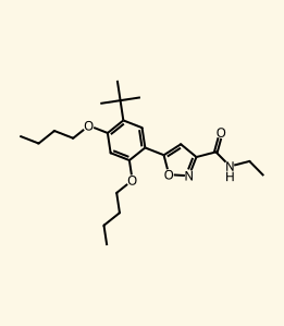 CCCCOc1cc(OCCCC)c(C(C)(C)C)cc1-c1cc(C(=O)NCC)no1